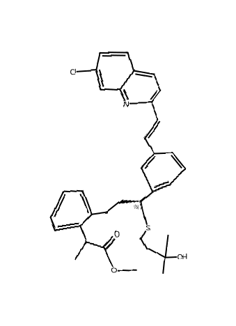 COC(=O)C(C)c1ccccc1CC[C@H](SCCC(C)(C)O)c1cccc(C=Cc2ccc3ccc(Cl)cc3n2)c1